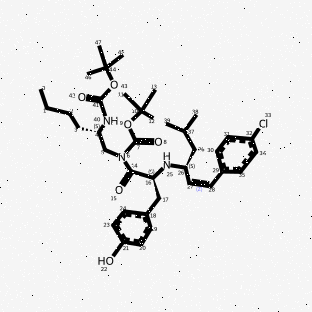 CCCC[C@@H](CN(C(=O)OC(C)(C)C)C(=O)[C@H](Cc1ccc(O)cc1)N[C@H](/C=C\c1ccc(Cl)cc1)CC(C)C)NC(=O)OC(C)(C)C